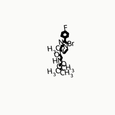 C[C@@H]1c2nc(-c3ccc(F)cc3)c(Br)n2CCN1C(=O)CNC(=O)OC(C)(C)C